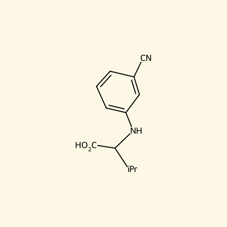 CC(C)C(Nc1cccc(C#N)c1)C(=O)O